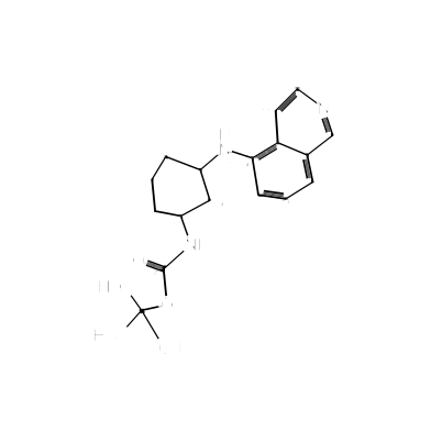 CC(C)(C)OC(=O)NC1CCCC(Nc2cccc3cnccc23)C1